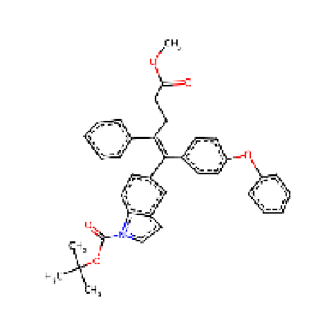 COC(=O)CC/C(=C(\c1ccc(Oc2ccccc2)cc1)c1ccc2c(ccn2C(=O)OC(C)(C)C)c1)c1ccccc1